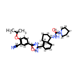 CC(C)Oc1ccc(-c2nc(-c3cccc4c3CCC[C@H]4NC(=O)N3CCCCC3)no2)cc1C#N